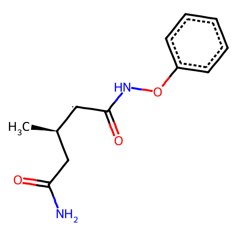 C[C@@H]([CH]C(=O)NOc1ccccc1)CC(N)=O